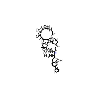 CC[C@H]1OC(=O)[C@H](C)[C@@H](O[C@H]2C[C@@](C)(OC)C[C@H](C)O2)C[C@@H](O[C@H]2C[C@@H](N(C)CC/C(=C/N(N)[C@H](CO)Cc3ccc(-n4ccnn4)cn3)NC)C[C@@H](C)O2)[C@](C)(O)C[C@@H](C)CN(C)[C@H](C)[C@@H](O)[C@]1(C)O